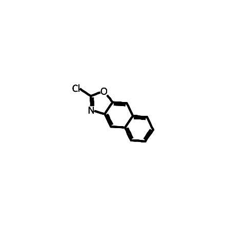 Clc1nc2cc3ccccc3cc2o1